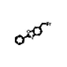 CC(C)Cc1ccc2nc(-c3ccccc3)oc2c1